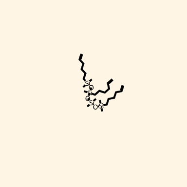 C=CCCCC[Si](C)(C)O[Si](C)(C)O[Si](C)(CCCCC=C)O[Si](C)(C)CCCCC=C